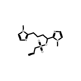 C=CCS(=O)(=O)OC(CCCc1nccn1C)c1nccn1C